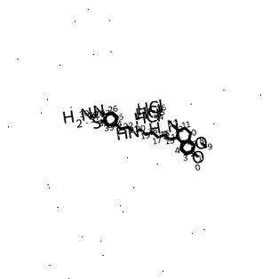 COc1ccc2c(c1OC)CCC(N)C2CCCCCCNCCc1ccc2nc(N)sc2c1.Cl.Cl.Cl